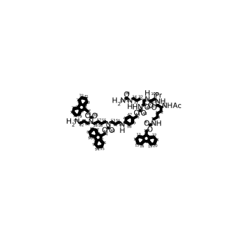 CC(=O)N[C@@H](CCCCNC(=O)OCC1c2ccccc2-c2ccccc21)C(=O)N[C@H](C(=O)N[C@@H](CCCNC(N)=O)C(=O)NC(=O)OCc1ccc(NCCCN(CCCCN(CCCN)C(=O)OCC2c3ccccc3-c3ccccc32)C(=O)OCC2c3ccccc3-c3ccccc32)cc1)C(C)C